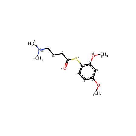 COc1ccc(SC(=O)CCCN(C)C)c(OC)c1